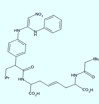 CC(C)CC(C(=O)NC(CC=CCC(NC(=O)CC(C)(C)C)C(=O)O)C(=O)O)c1ccc(NC(=C[N+](=O)[O-])Nc2ccccc2)cc1